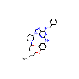 C=CC(=O)N1CCC[C@H](n2cnc3c(NCc4ccccc4)nc(Nc4ccc(OCCCOC)cc4)nc32)C1